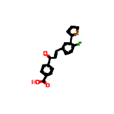 O=C(O)c1ccc(C(=O)C=Cc2ccc(F)c(-c3cccs3)c2)cc1